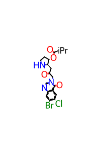 CC(C)C(=O)O[C@H]1CCN[C@@H]1CC(=O)Cn1cnc2cc(Br)c(Cl)cc2c1=O